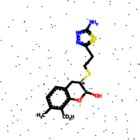 Cc1ccc2c(c1C(=O)O)OB(O)[C@@H](SCCc1nnc(N)s1)C2